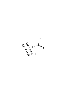 N=C=O.N=C=O.O=C(Cl)Cl